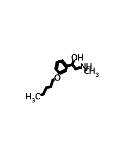 CCCCCOc1cccc(C(O)CNC)c1